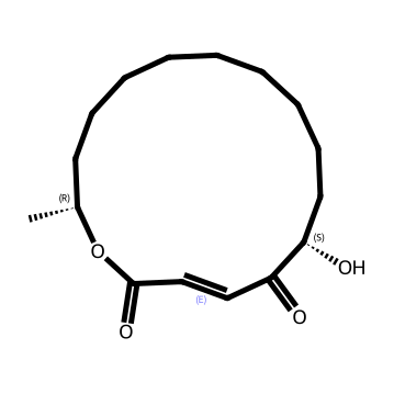 C[C@@H]1CCCCCCCCC[C@H](O)C(=O)/C=C/C(=O)O1